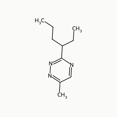 CCCC(CC)c1ncc(C)nn1